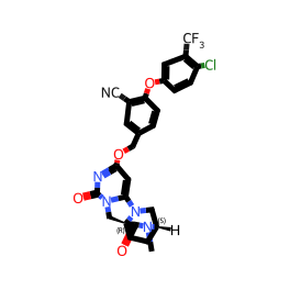 CN1C(=O)[C@]23CC[C@H]1CN2c1cc(OCc2ccc(Oc4ccc(Cl)c(C(F)(F)F)c4)c(C#N)c2)nc(=O)n1C3